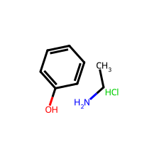 CCN.Cl.Oc1ccccc1